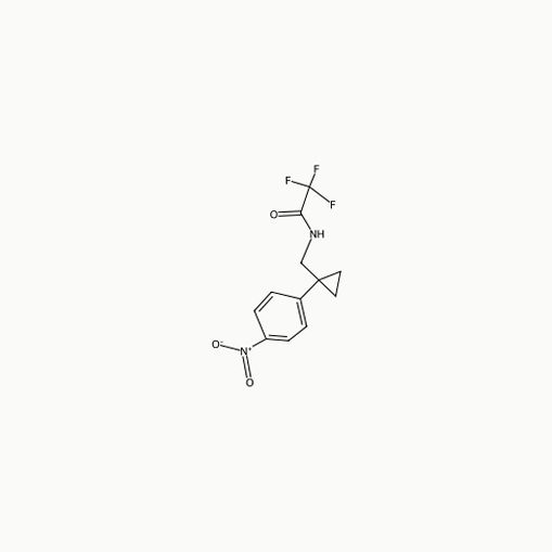 O=C(NCC1(c2ccc([N+](=O)[O-])cc2)CC1)C(F)(F)F